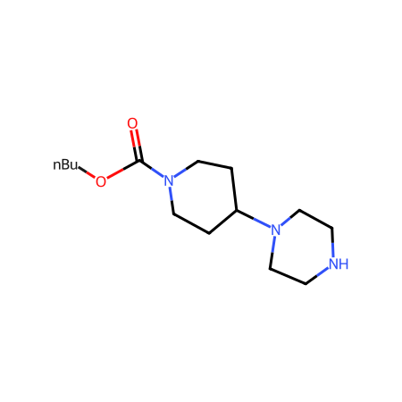 CCCCOC(=O)N1CCC(N2CCNCC2)CC1